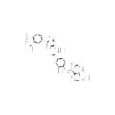 O=C(Nc1nc(-c2ccc(F)c(C(F)(F)F)c2)ns1)c1ccc(Nc2ncnc3[nH]cnc23)cc1